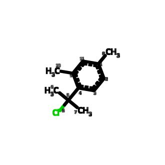 Cc1ccc(C(C)(C)Cl)c(C)c1